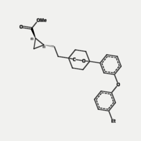 CCc1cccc(Oc2cccc(C34CCC(CC[C@@H]5C[C@H]5C(=O)OC)(CC3)CO4)c2)c1